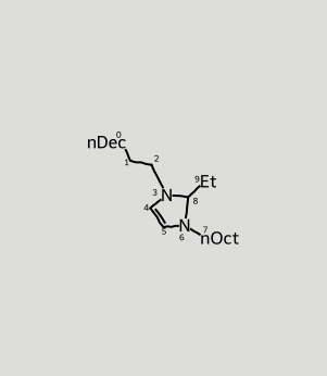 CCCCCCCCCCCCN1C=CN(CCCCCCCC)C1CC